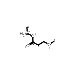 COCCC(=O)O[SiH2]C